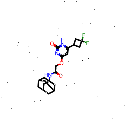 O=C(COc1cc(C2CC(F)(F)C2)[nH]c(=O)n1)NC12CC3CC(CC(C3)C1)C2